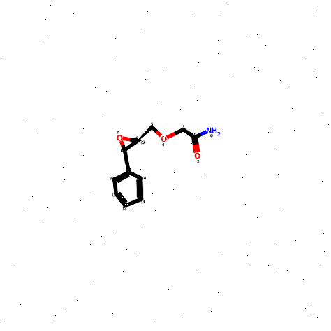 NC(=O)COC[C@@H]1OC1c1ccccc1